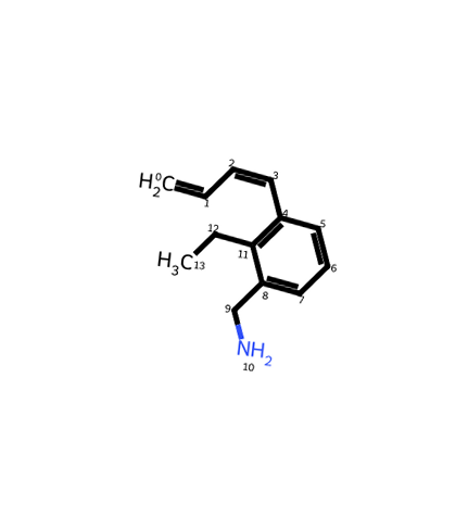 C=C/C=C\c1cccc(CN)c1CC